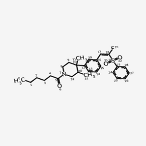 CCCCCC(=O)N1CCC(C)(c2cccc(C=C(F)S(=O)(=O)c3ccccc3)c2)C(C)C1